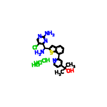 CC(C)(O)c1ccnc(-c2cccc3cc(C(N)c4nc(N)ncc4Cl)sc23)c1.Cl.Cl.Cl